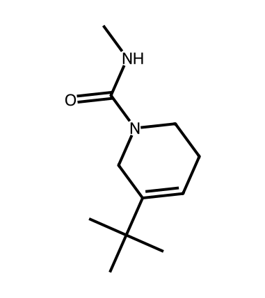 CNC(=O)N1CCC=C(C(C)(C)C)C1